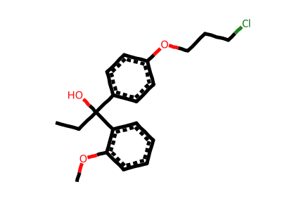 CCC(O)(c1ccc(OCCCCl)cc1)c1ccccc1OC